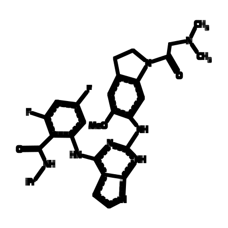 COc1cc2c(cc1Nc1nc(Nc3cc(F)cc(F)c3C(=O)NC(C)C)c3ccnc-3[nH]1)N(C(=O)CN(C)C)CC2